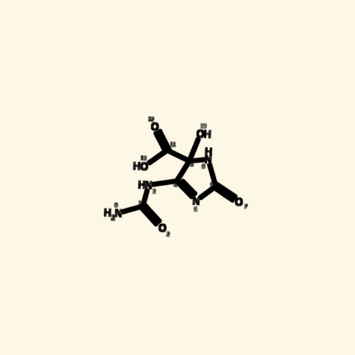 NC(=O)NC1=NC(=O)NC1(O)C(=O)O